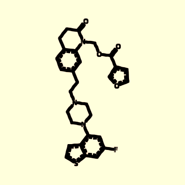 O=C(OCN1C(=O)CCc2ccc(CCN3CCN(c4cc(F)cc5sccc45)CC3)cc21)c1ccoc1